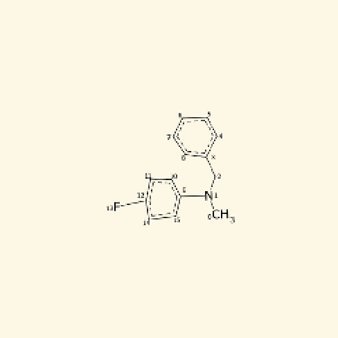 CN(Cc1ccccc1)c1ccc(F)cc1